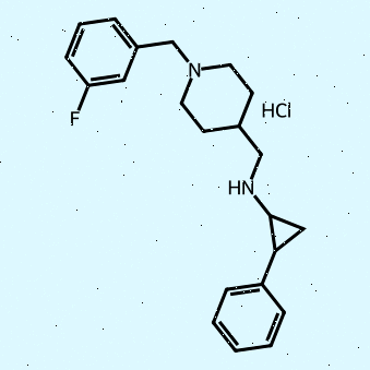 Cl.Fc1cccc(CN2CCC(CNC3CC3c3ccccc3)CC2)c1